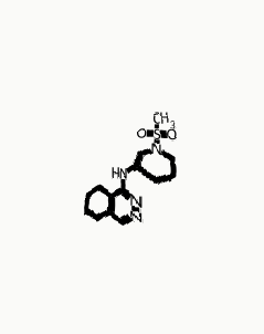 CS(=O)(=O)N1CCCC(Nc2nncc3c2CCCC3)C1